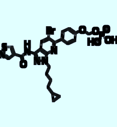 O=C(Nc1nn(CCCCC2CC2)c2nc(-c3ccc(OCOP(=O)(O)O)cc3)c(Br)cc12)c1cnsc1